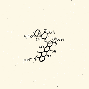 CO[C@H]1OCCN([C@H]2C[C@H](O[C@H]3C[C@](O)(C(=O)CO)Cc4c(O)c5c(c(O)c43)C(=O)c3c(NCCN)cccc3C5=O)O[C@@H](C)[C@H]2O)[C@@H]1C